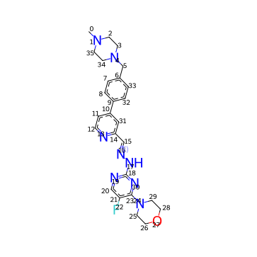 CN1CCN(Cc2ccc(-c3ccnc(/C=N/Nc4ncc(F)c(N5CCOCC5)n4)c3)cc2)CC1